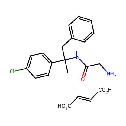 CC(Cc1ccccc1)(NC(=O)CN)c1ccc(Cl)cc1.O=C(O)C=CC(=O)O